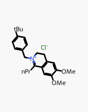 CCCC1=[N+](Cc2ccc(C(C)(C)C)cc2)CCc2cc(OC)c(OC)cc21.[Cl-]